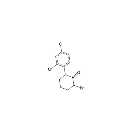 O=C1C(Br)CCCC1c1ccc(Cl)cc1Cl